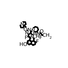 C#Cc1c(F)ccc2cc(O)cc(-c3ncc4c(N5CCCC[C@@H](NC(=O)C(=C)F)C5)nc(OCC56CCCN5CCC6)nc4c3F)c12